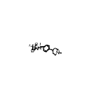 [3H]S(=O)(=O)N[C@@H](C)c1ccc(C2CCN(C)CC2)cc1